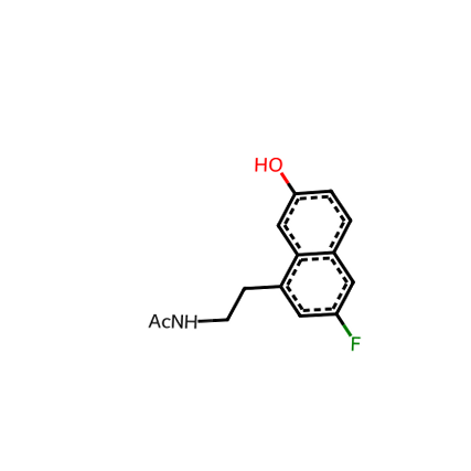 CC(=O)NCCc1cc(F)cc2ccc(O)cc12